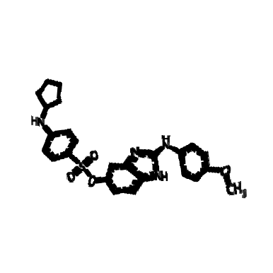 COc1ccc(Nc2nc3cc(OS(=O)(=O)c4ccc(NC5CCCC5)cc4)ccc3[nH]2)cc1